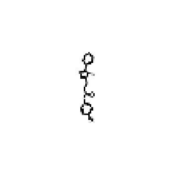 CCc1ccc(CC(=O)CCC2=CC=C(c3ccccc3)C2C)cc1